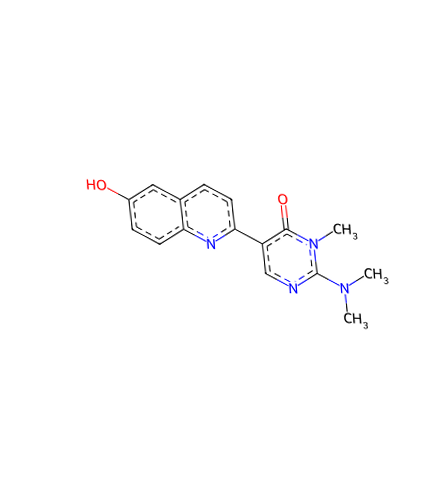 CN(C)c1ncc(-c2ccc3cc(O)ccc3n2)c(=O)n1C